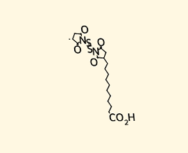 O=C(O)CCCCCCCCCCC1CC(=O)N(SSN2C(=O)[CH]CC2=O)C1=O